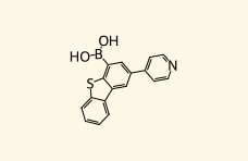 OB(O)c1cc(-c2ccncc2)cc2c1sc1ccccc12